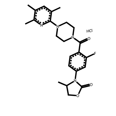 Cc1cc(C)c(N2CCN(C(=O)c3ccc(N4C(=O)OCC4C)cc3F)CC2)nc1C.Cl